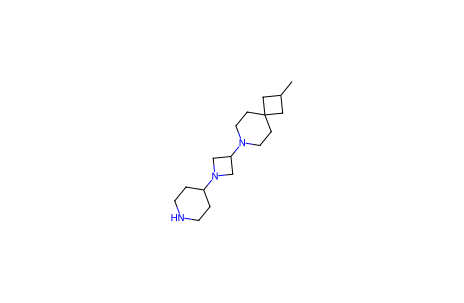 CC1CC2(CCN(C3CN(C4CCNCC4)C3)CC2)C1